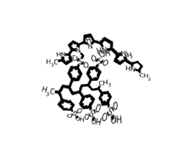 Cc1ccc(-c2ccc(C3C=CC(C4C=C/C(=c5/cc/c(=C6/CCC(C)N6)[nH]5)N4)N3)n2CS(=O)(=O)c2ccc(C(CC(C)c3ccc(S(=O)(=O)O)cc3)CC(CC(CC(C)c3ccc(S(=O)(=O)O)cc3)c3ccc(S(=O)(=O)O)cc3)c3ccc(S(=O)(=O)O)cc3)cc2)[nH]1